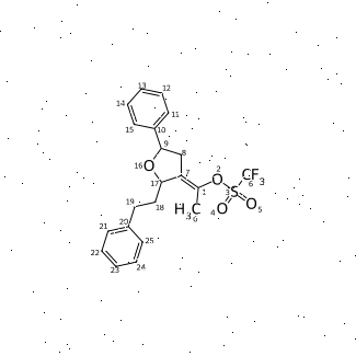 CC(OS(=O)(=O)C(F)(F)F)=C1CC(c2ccccc2)OC1CCc1ccccc1